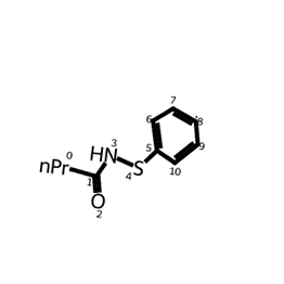 CCCC(=O)NSc1cc[c]cc1